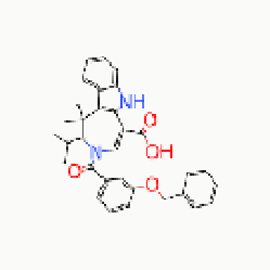 CC(C)C1N(C(=O)c2cccc(OCc3ccccc3)c2)C=C(C(=O)O)c2[nH]c3ccccc3c2C1(C)C